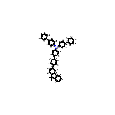 CC1(C)c2ccccc2-c2cc(-c3ccc(-c4ccc(N(c5ccc(-c6ccccc6)cc5)c5ccc(-c6ccccc6)cc5)cc4)cc3)ccc21